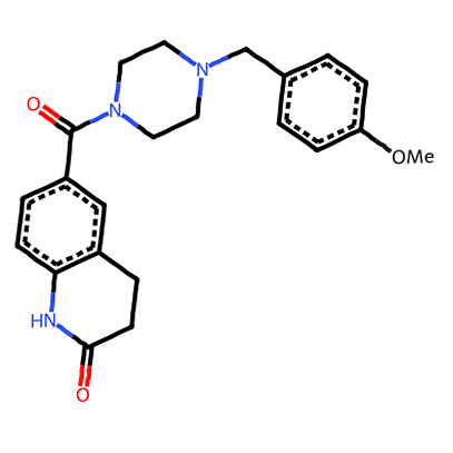 COc1ccc(CN2CCN(C(=O)c3ccc4c(c3)CCC(=O)N4)CC2)cc1